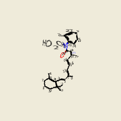 CC(C=CC1=C(C)CCCC1(C)C)=CC=C/C(C)=C\C(=O)N(C(=O)O)c1ccccc1